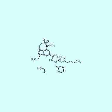 CCCCNC[C@@H](O)[C@H](Cc1ccccc1)NC(=O)c1cc2c3c(c1)c(CC)cn3CCS(=O)(=O)N2C.O=CO